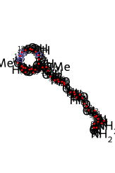 CO[C@H]1C[C@@H]2CC[C@@H](C)[C@@](O)(O2)C(=O)C(=O)N2CCCC[C@H]2C(=O)O[C@H]([C@H](N)C[C@@H]2CC[C@@H](OC(=O)NCc3cnc(N4CCN(C(=O)CCOCCN5CCN(c6ncc(C(=O)NCCOCCC(=O)N7CCc8cc(Cn9nc(-c%10ccc%11oc(N)nc%11c%10)c%10c(N)ncnc%109)ccc8C7)cn6)CC5)CC4)nc3)[C@H](OC)C2)CC(=O)[C@H](C)/C=C(\C)[C@@H](O)[C@@H](O)C(=O)[C@H](C)C[C@H](C)/C=C/C=C/C=C/1C